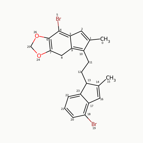 CC1=CC2=C(Br)C3=C(CC2=C1CCC1C(C)=Cc2c(Br)cccc21)OCO3